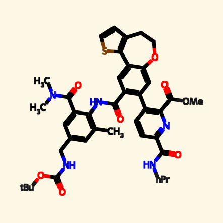 CCCNC(=O)c1ccc(-c2cc3c(cc2C(=O)Nc2c(C)cc(CNC(=O)OC(C)(C)C)cc2C(=O)N(C)C)-c2sccc2CCO3)c(C(=O)OC)n1